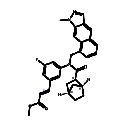 COC(=O)/C=C/c1cc(F)cc(N(Cc2cccc3cc4cnn(C)c4cc23)C(=O)[C@@H]2C[C@@H]3CC[C@H]2C3)c1